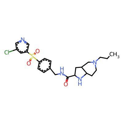 CCCN1CCC2NC(C(=O)NCc3ccc(S(=O)(=O)c4cncc(Cl)c4)cc3)CC2C1